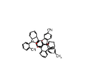 Cc1ccc(N2C3=C(c4ccccc4C4=CCCC=C4c4ccc5c(c4)C4C=CC=CC4N5c4ccccc4C#N)C=CCC3c3cc(C#N)ccc32)cc1